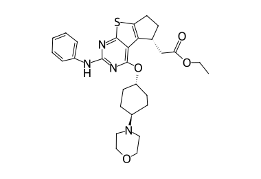 CCOC(=O)C[C@H]1CCc2sc3nc(Nc4ccccc4)nc(O[C@H]4CC[C@H](N5CCOCC5)CC4)c3c21